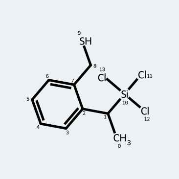 CC(c1ccccc1CS)[Si](Cl)(Cl)Cl